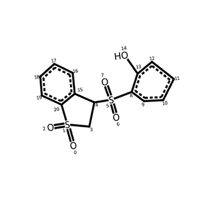 O=S1(=O)CC(S(=O)(=O)c2ccccc2O)c2ccccc21